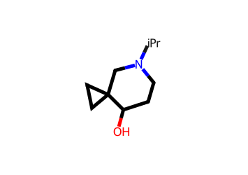 CC(C)N1CCC(O)C2(CC2)C1